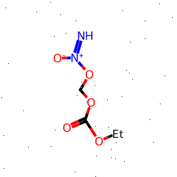 CCOC(=O)OCO[N+](=N)[O-]